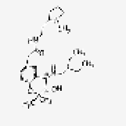 CCC(CC)CN[C@@H]1c2cc(CC(=O)NCCC3CCCN3C)ccc2OC(C)(C)[C@H]1O